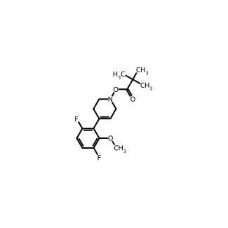 COc1c(F)ccc(F)c1C1=CCN(OC(=O)C(C)(C)C)CC1